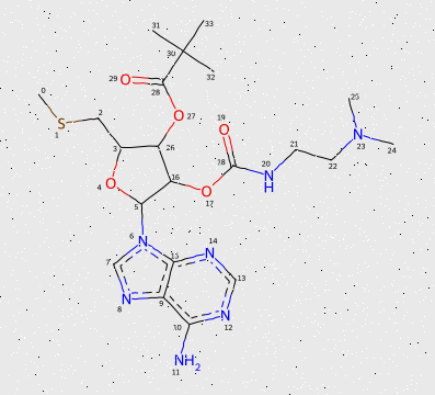 CSCC1OC(n2cnc3c(N)ncnc32)C(OC(=O)NCCN(C)C)C1OC(=O)C(C)(C)C